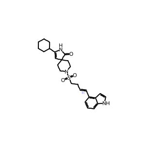 O=C1NC(C2CCCCC2)=CC12CCN(S(=O)(=O)CC/C=C/c1cccc3[nH]ccc13)CC2